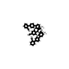 Cc1cc(-c2c(-n3c4ccccc4c4ccc(-c5ccccc5C#N)cc43)cc(C#N)cc2-n2c3ccccc3c3ccc(-c4ccccc4C#N)cc32)nc(C)n1